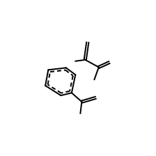 C=C(C)C(=C)C.C=C(C)c1ccccc1